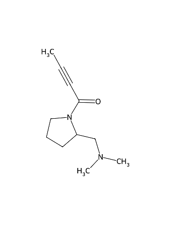 CC#CC(=O)N1CCCC1CN(C)C